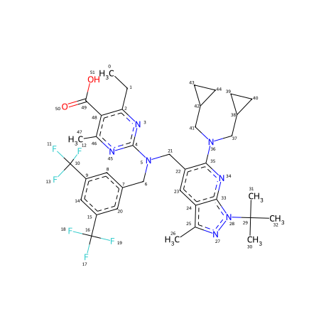 CCc1nc(N(Cc2cc(C(F)(F)F)cc(C(F)(F)F)c2)Cc2cc3c(C)nn(C(C)(C)C)c3nc2N(CC2CC2)CC2CC2)nc(C)c1C(=O)O